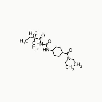 CCN(CC)C(=O)C1CCC(NC(=O)NC(=O)C(C)(C)CC)CC1